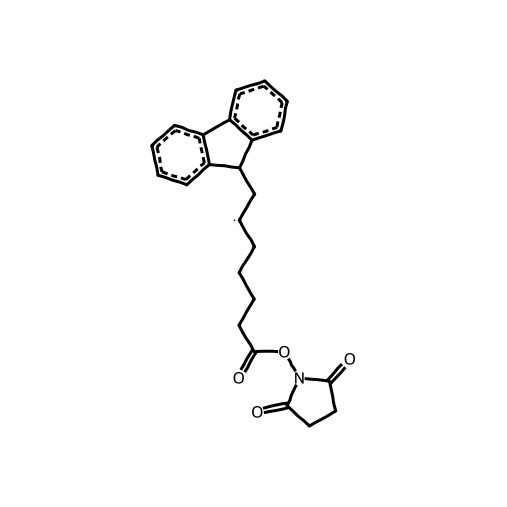 O=C(CCCC[CH]CC1c2ccccc2-c2ccccc21)ON1C(=O)CCC1=O